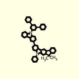 CC1(C)c2ccccc2-c2cc3c4cc(-c5ccc6c(c5)c5ccccc5n6-c5cc(-c6ccccc6)cc(-c6ccccc6)c5)ccc4n(-c4ccccc4)c3cc21